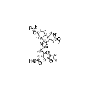 COc1ccc(-c2ccc(OC(F)F)cc2-c2csc(N(C)C(=O)[C@@H](CC(=O)O)Cc3ccco3)n2)cn1